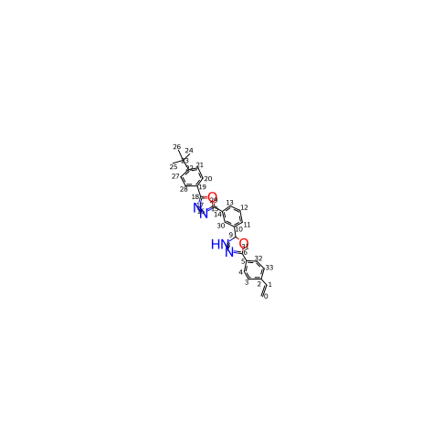 C=Cc1ccc(C2=NNC(c3cccc(-c4nnc(-c5ccc(C(C)(C)C)cc5)o4)c3)O2)cc1